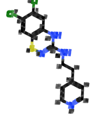 Clc1cc2c(cc1Cl)SN=C(NCCc1ccncc1)N2